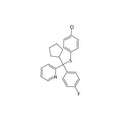 Fc1ccc(C(Sc2ccc(Cl)cc2)(c2ccccn2)C2CCCC2)cc1